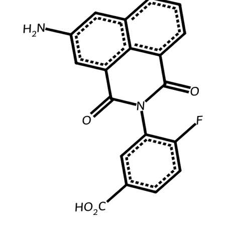 Nc1cc2c3c(cccc3c1)C(=O)N(c1cc(C(=O)O)ccc1F)C2=O